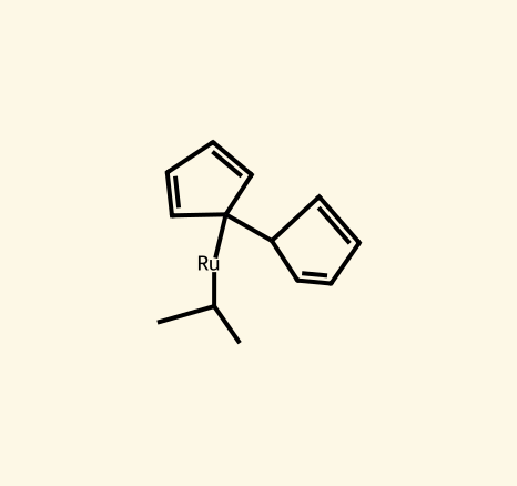 C[CH](C)[Ru][C]1(C2C=CC=C2)C=CC=C1